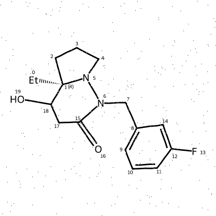 CC[C@]12CCCN1N(Cc1cccc(F)c1)C(=O)CC2O